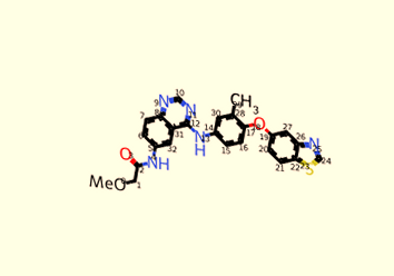 COCC(=O)Nc1ccc2ncnc(Nc3ccc(Oc4ccc5scnc5c4)c(C)c3)c2c1